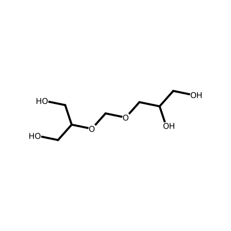 OCC(O)COCOC(CO)CO